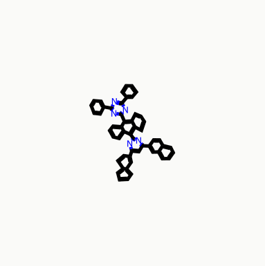 c1ccc(-c2nc(-c3ccccc3)nc(-c3c4ccccc4c(-c4nc(-c5ccc6ccccc6c5)cc(-c5ccc6ccccc6c5)n4)c4ccccc34)n2)cc1